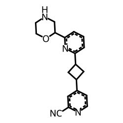 N#Cc1cc(C2CC(c3cccc(C4CNCCO4)n3)C2)ccn1